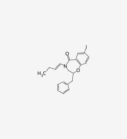 CCC=CN1CC(Cc2ccccc2)Oc2ccc(I)cc2C1=O